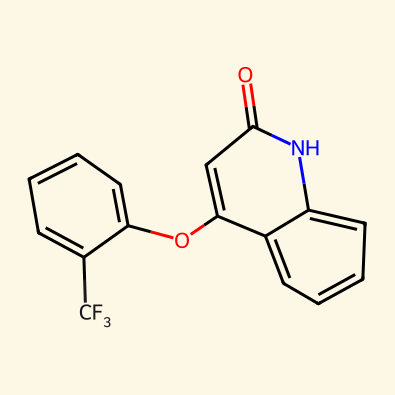 O=c1cc(Oc2ccccc2C(F)(F)F)c2ccccc2[nH]1